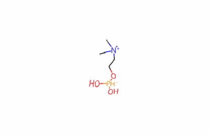 C[N+](C)(C)CCO[PH-](O)O